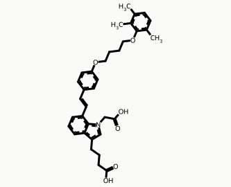 Cc1ccc(C)c(OCCCCOc2ccc(C=Cc3cccc4c(CCCC(=O)O)cn(CC(=O)O)c34)cc2)c1C